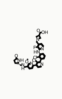 COc1nc(-c2ccnc(-c3cccc(Nc4nccc(CN5CC(C(=O)O)C5)c4F)c3Cl)c2Cl)ccc1CNC[C@@H]1CCC(=O)N1